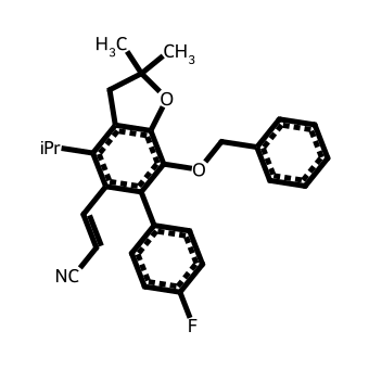 CC(C)c1c(/C=C/C#N)c(-c2ccc(F)cc2)c(OCc2ccccc2)c2c1CC(C)(C)O2